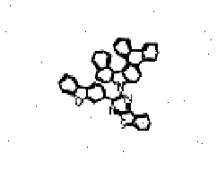 c1ccc2c(c1)ccc1c2c2c3c4ccccc4c4ccccc4c3ccc2n1-c1nc2c(nc1-c1ccc3c(c1)oc1ccccc13)sc1ccccc12